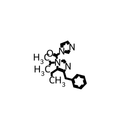 CCC1=C(Cc2ccccc2)N=C[N+]1(C(=O)n1ccnc1)C(C)C